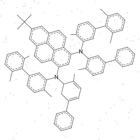 CC1=CC=C(c2ccccc2)CC1N(c1cc(-c2c(C)cccc2C)ccc1C)c1cc(N(c2cc(-c3ccccc3)ccc2C)c2cc(-c3c(C)cccc3C)ccc2C)c2ccc3cc(C(C)(C)C)cc4ccc1c2c34